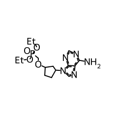 CCOP(=O)(COC1CCC(n2cnc3c(N)ncnc32)C1)OCC